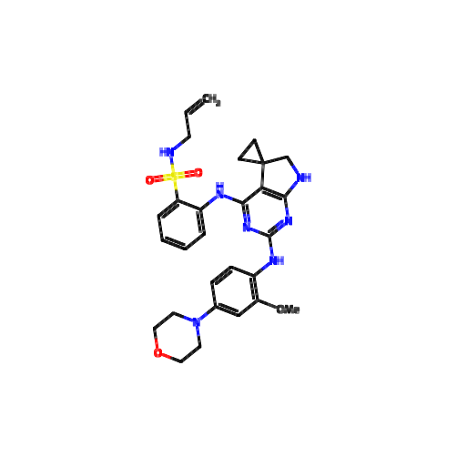 C=CCNS(=O)(=O)c1ccccc1Nc1nc(Nc2ccc(N3CCOCC3)cc2OC)nc2c1C1(CC1)CN2